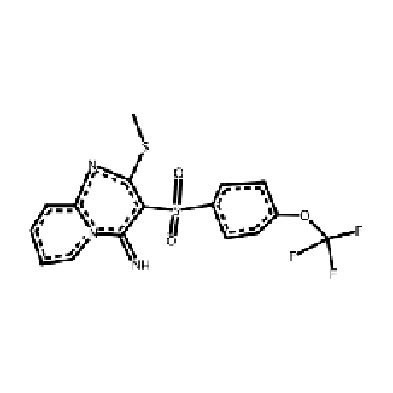 CSc1nc2ccccn2c(=N)c1S(=O)(=O)c1ccc(OC(F)(F)F)cc1